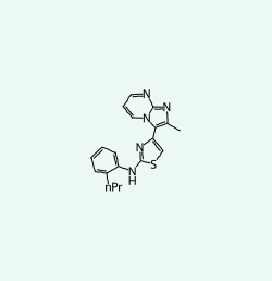 CCCc1ccccc1Nc1nc(-c2c(C)nc3ncccn23)cs1